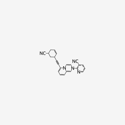 N#Cc1cccnc1N1C=CN2C(C#CC3C=CCC(C#N)C3)=CC=CC2=C1